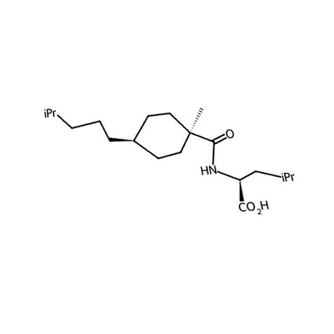 CC(C)CCC[C@H]1CC[C@@](C)(C(=O)N[C@@H](CC(C)C)C(=O)O)CC1